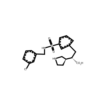 O=C(O)[C@@H](Cc1cccc(S(=O)(=O)NCc2cccc(Cl)c2)c1)[C@H]1CCNC1